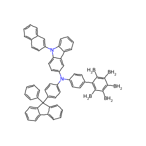 Bc1c(B)c(B)c(-c2ccc(N(c3ccc(C4(c5ccccc5)c5ccccc5-c5ccccc54)cc3)c3ccc4c(c3)c3ccccc3n4-c3ccc4ccccc4c3)cc2)c(B)c1B